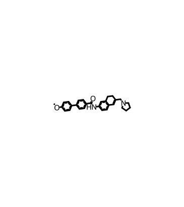 COc1ccc(-c2ccc(C(=O)Nc3ccc4c(c3)CCC(CN3CCCC3)=C4)cc2)cc1